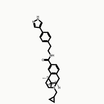 C[C@H]1[C@H]2Cc3ccc(C(=O)NCCc4ccc(-c5cn[nH]c5)cc4)cc3[C@]1(C)CCN2CC1CC1